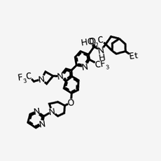 CCC1CC2CC(C1)C(NC(=O)c1ccc(-c3cn(C4CN(CC(F)(F)F)C4)c4cc(OC5CCN(c6ncccn6)CC5)ccc34)nc1C(F)(F)F)(C(=O)O)C2